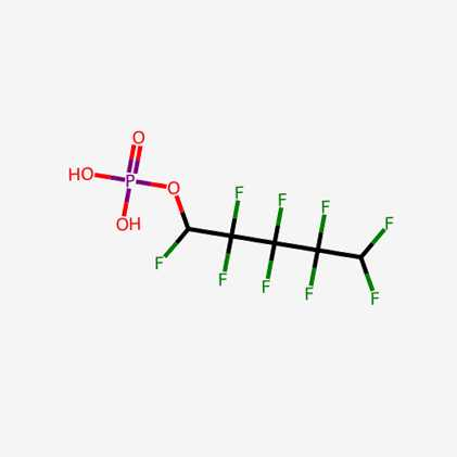 O=P(O)(O)OC(F)C(F)(F)C(F)(F)C(F)(F)C(F)F